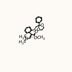 COC(=O)/C(=C/N(C)C)c1ccccc1SCC1(c2ccccc2)OCCO1